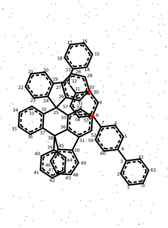 c1ccc(-c2ccc(-c3ccc(N(c4ccccc4)c4ccccc4C4(c5ccccc5)c5ccccc5C5(c6ccccc6)c6ccccc6-c6cccc4c65)cc3)cc2)cc1